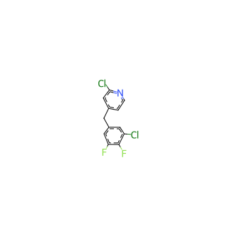 Fc1cc(Cc2ccnc(Cl)c2)cc(Cl)c1F